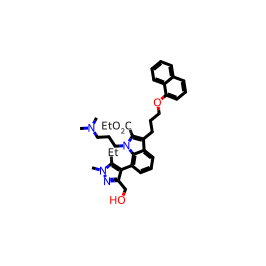 CCOC(=O)c1c(CCCOc2cccc3ccccc23)c2cccc(-c3c(CO)nn(C)c3CC)c2n1CCCN(C)C